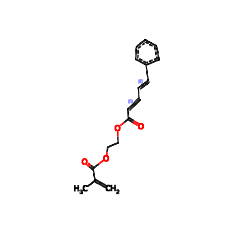 C=C(C)C(=O)OCCOC(=O)/C=C/C=C/c1ccccc1